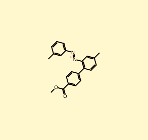 COC(=O)c1ccc(-c2ccc(C)cc2/N=N/c2cccc(C)c2)cc1